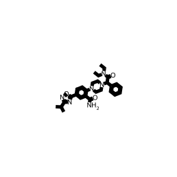 CCN(CC)C(=O)C(c1ccccc1)N1CCN(c2ccc(-c3nc(C(C)C)no3)cc2C(N)=O)CC1